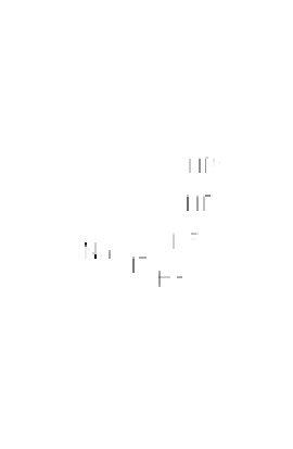 Br.F.F.F.F.[NaH]